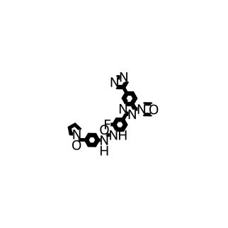 O=C(Nc1ccc(C(=O)N2CCCC2)cc1)Nc1ccc(-c2nc(N3CCOCC3)c3ccc(-c4cncnc4)cc3n2)cc1F